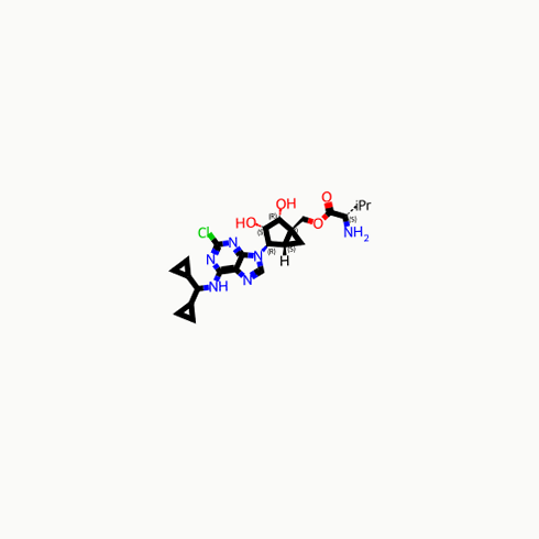 CC(C)[C@H](N)C(=O)OC[C@@]12C[C@@H]1[C@@H](n1cnc3c(NC(C4CC4)C4CC4)nc(Cl)nc31)[C@H](O)[C@@H]2O